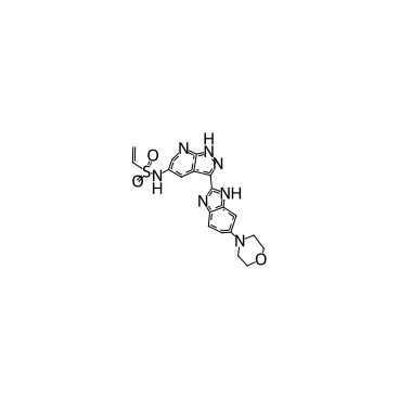 C=CS(=O)(=O)Nc1cnc2[nH]nc(-c3nc4ccc(N5CCOCC5)cc4[nH]3)c2c1